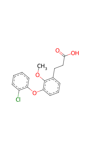 COc1c(CCC(=O)O)cccc1Oc1ccccc1Cl